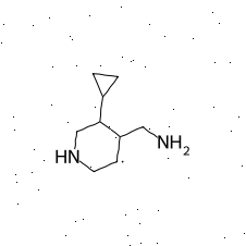 NCC1[CH]CNCC1C1CC1